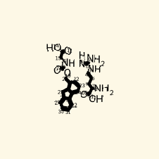 N=C(N)NCCCC(N)C(=O)O.O=C(O)CNC(=O)OCc1cccc2c1Cc1ccccc1-2